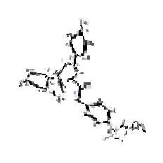 CN(CCC#N)c1ccc(/C=C/c2cc(-c3ccc(I)cc3)cc(-c3ccc(F)cc3)[n+]2C)cc1